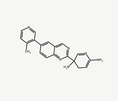 Cc1ccncc1-c1ccc2nc(C3(N)C=NC(N)=CC3)ncc2c1